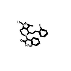 CCn1nc(C)c2c1CCN(C(C(=O)NC)c1ccccc1)C2CCc1ccccc1F